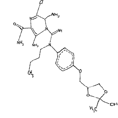 CCCCN(C(=N)N1C(N)=C(C(N)=O)N=C(Cl)C1N)c1ccc(OCC2COC(C)(C)O2)cc1